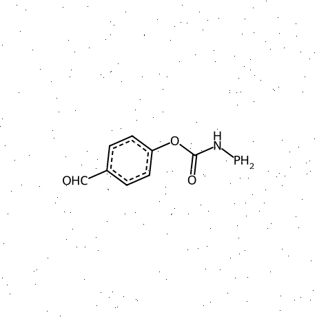 O=Cc1ccc(OC(=O)NP)cc1